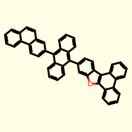 c1ccc2c(c1)ccc1cc(-c3c4ccccc4c(-c4ccc5c(c4)oc4c6ccccc6c6ccccc6c54)c4ccccc34)ccc12